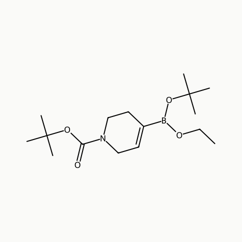 CCOB(OC(C)(C)C)C1=CCN(C(=O)OC(C)(C)C)CC1